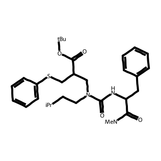 CNC(=O)C(Cc1ccccc1)NC(=O)N(CCC(C)C)CC(CSc1ccccc1)C(=O)OC(C)(C)C